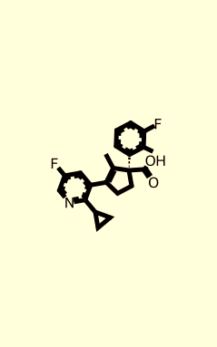 CC1=C(c2cc(F)cnc2C2CC2)CC[C@@]1(C(=O)O)c1cccc(F)c1C